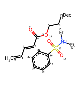 C=CC=CC(=O)OCCCCCCCCCCCC.CCN(CC)S(=O)(=O)c1ccccc1